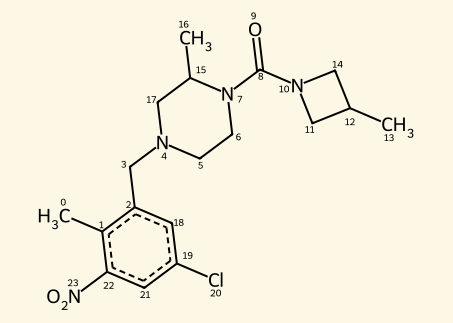 Cc1c(CN2CCN(C(=O)N3CC(C)C3)C(C)C2)cc(Cl)cc1[N+](=O)[O-]